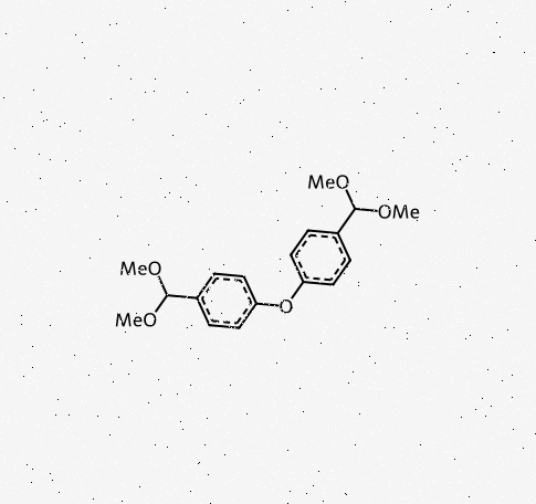 COC(OC)c1ccc(Oc2ccc(C(OC)OC)cc2)cc1